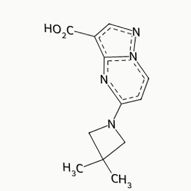 CC1(C)CN(c2ccn3ncc(C(=O)O)c3n2)C1